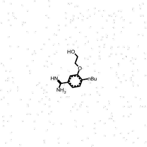 CCCCc1ccc(C(=N)N)cc1OCCO